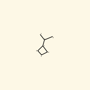 CC(C)C1CCC1